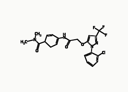 CN(C)C(=O)C1C=CC(NC(=O)COc2cc(C(F)(F)F)nn2-c2ccccc2Cl)=CC1